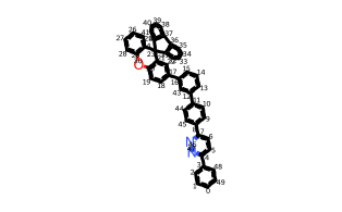 c1ccc(-c2ccc(-c3ccc(-c4cccc(-c5ccc6c(c5)C5(c7ccccc7O6)c6ccccc6-c6ccccc65)c4)cc3)nn2)cc1